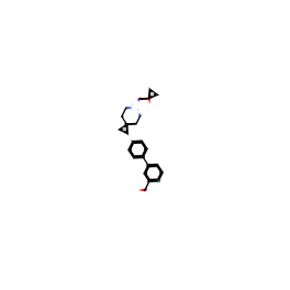 O=C(O)c1cc(-c2ccc([C@H]3CC34CCN(C(=O)C3(O)CC3)CC4)cc2)ccc1Cl